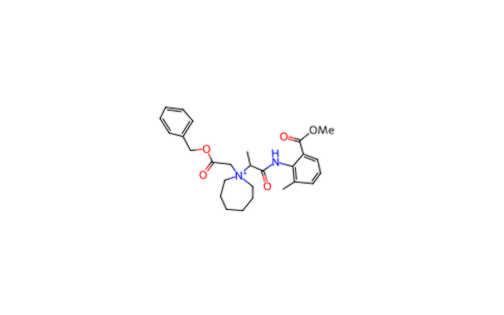 COC(=O)c1cccc(C)c1NC(=O)C(C)[N+]1(CC(=O)OCc2ccccc2)CCCCCC1